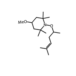 COC1CC(C)(C)N(OC(C)CC=C(C)C)C(C)(C)C1